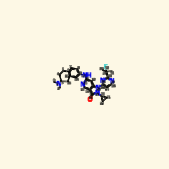 CN(C)C1CCc2ccc(Nc3cc4c(cn3)c(=O)n(C3CC3)n4-c3ccnc(C(C)(C)F)n3)cc2C1